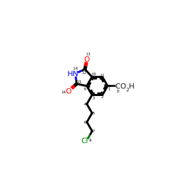 O=C(O)c1cc(CCCCCl)c2c(c1)C(=O)NC2=O